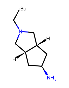 CCC(C)CN1C[C@H]2C[C@H](N)C[C@H]2C1